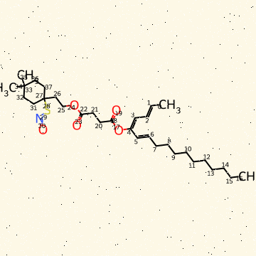 CC=CC=C(C=CCCCCCCCCCC)OC(=O)CCC(=O)OCCC1(SN=O)CCC(C)(C)CC1